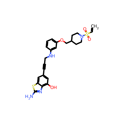 C=CS(=O)(=O)N1CCC(COc2cccc(NCC#Cc3cc(O)c4nc(N)sc4c3)c2)CC1